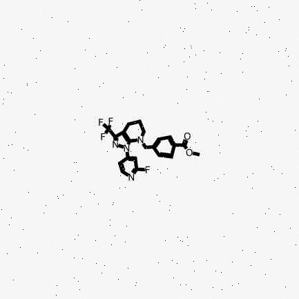 COC(=O)c1ccc(CN2CCCc3c(C(F)(F)F)nn(-c4ccnc(F)c4)c32)cc1